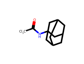 O=C(NC12CC3CC(CC(C3)C1)C2)C(Cl)(Cl)Cl